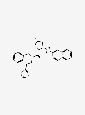 O=C([C@@H]1C[C@@H](S)CN1S(=O)(=O)c1ccc2ccccc2c1)N(CCc1nnn[nH]1)Cc1ccccc1